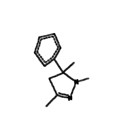 CC1=NN(C)C(C)(c2ccccc2)C1